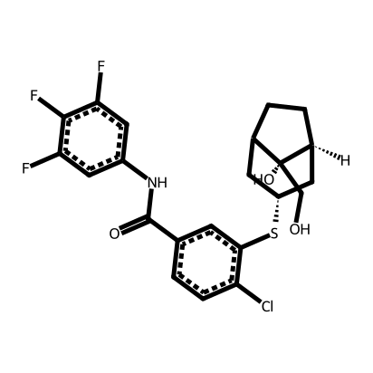 O=C(Nc1cc(F)c(F)c(F)c1)c1ccc(Cl)c(S[C@@H]2CC3CC[C@@H](C2)[C@@]3(O)CO)c1